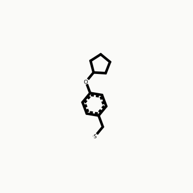 [S]Cc1ccc(OC2CCCC2)cc1